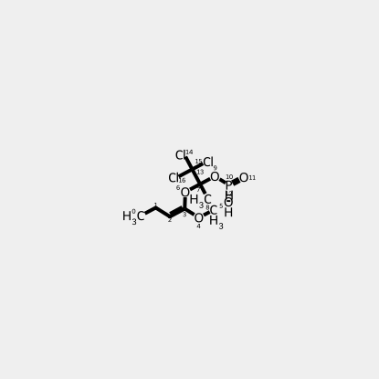 CCC=C(OC)OC(C)(O[PH](=O)O)C(Cl)(Cl)Cl